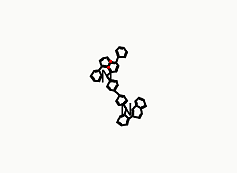 c1ccc(-c2ccc(N(c3ccc(-c4ccc(-n5c6ccccc6c6ccc7ccccc7c65)cc4)cc3)c3ccccc3-c3ccccc3)cc2)cc1